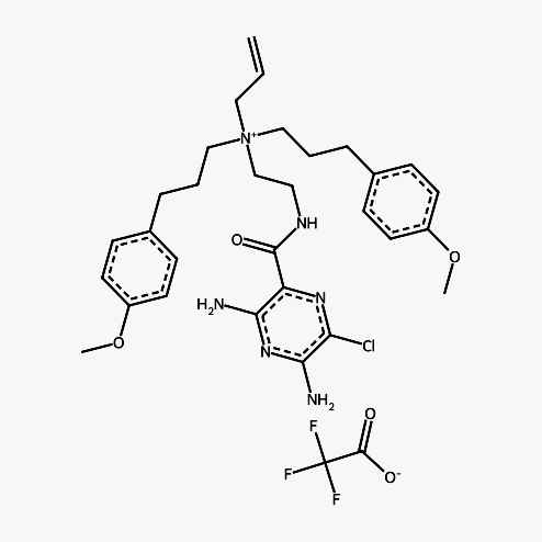 C=CC[N+](CCCc1ccc(OC)cc1)(CCCc1ccc(OC)cc1)CCNC(=O)c1nc(Cl)c(N)nc1N.O=C([O-])C(F)(F)F